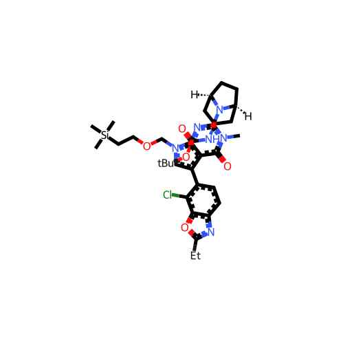 CCc1nc2ccc(-c3cn(COCC[Si](C)(C)C)c4nc(N5[C@@H]6CC[C@H]5C[C@@H](NC(=O)OC(C)(C)C)C6)n(C)c(=O)c34)c(Cl)c2o1